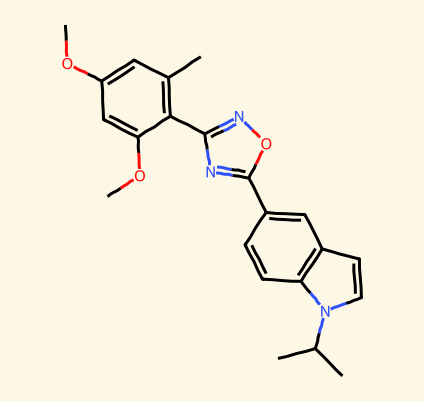 COc1cc(C)c(-c2noc(-c3ccc4c(ccn4C(C)C)c3)n2)c(OC)c1